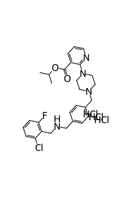 CC(C)OC(=O)c1cccnc1N1CCN(Cc2ccc(CNCc3c(F)cccc3Cl)cc2)CC1.Cl.Cl.Cl